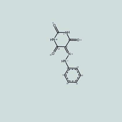 O=C1NC(=O)C(=NNc2ccccc2)C(=O)N1